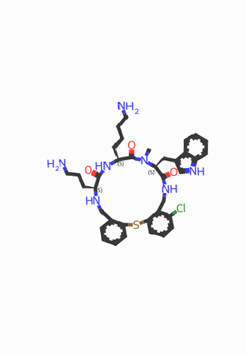 CN1C(=O)[C@H](CCCCN)NC(=O)[C@H](CCCN)NCc2ccccc2Sc2cccc(Cl)c2CNC(=O)[C@@H]1Cc1c[nH]c2ccccc12